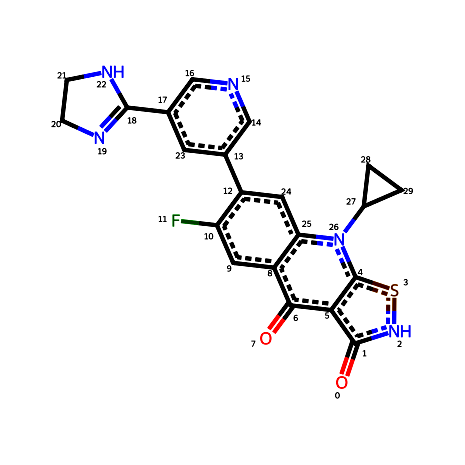 O=c1[nH]sc2c1c(=O)c1cc(F)c(-c3cncc(C4=NCCN4)c3)cc1n2C1CC1